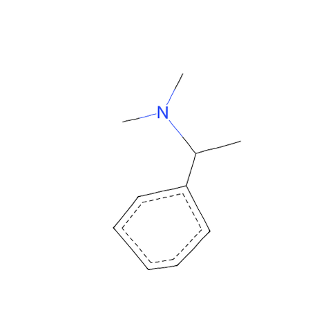 CC(c1ccccc1)N(C)C